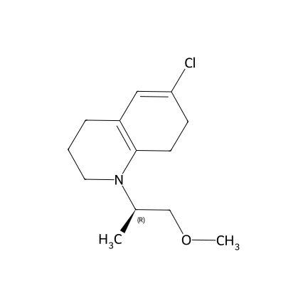 COC[C@@H](C)N1CCCC2=C1CCC(Cl)=C2